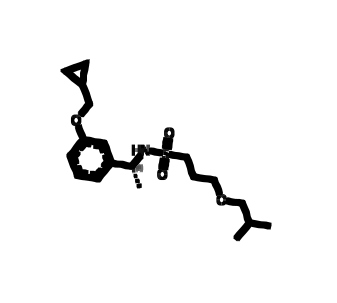 CC(C)COCCCS(=O)(=O)N[C@H](C)c1cccc(OCC2CC2)c1